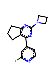 Fc1cc(-c2nc(N3CCC3)nc3c2CCC3)ccn1